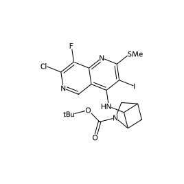 CSc1nc2c(F)c(Cl)ncc2c(NC2C3CC2N(C(=O)OC(C)(C)C)C3)c1I